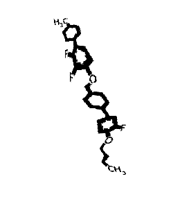 CCCCOc1ccc(C2CCC(COc3ccc(C4CCC(C)CC4)c(F)c3F)CC2)cc1F